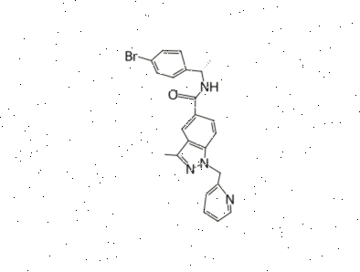 Cc1nn(Cc2ccccn2)c2ccc(C(=O)N[C@@H](C)c3ccc(Br)cc3)cc12